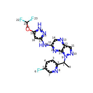 CC(c1ccc(F)cn1)n1ncc2ncc(Nc3cc(OC(F)F)[nH]n3)nc21